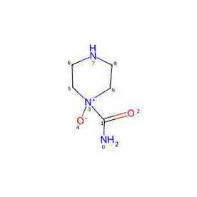 NC(=O)[N+]1([O-])CCNCC1